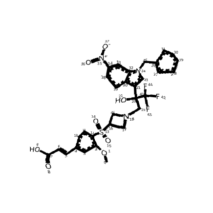 COc1cc(C=CC(=O)O)ccc1S(=O)(=O)C1CN(CC(O)(c2cn(Cc3ccccc3)c3cc([N+](=O)[O-])ccc23)C(F)(F)F)C1